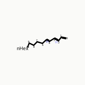 C=C/C=C/C=C/CCCCCCCCCC